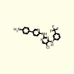 Nc1ccc(-c2ccc(Nc3ncc(Cl)c(Nc4cccc(C(F)(F)F)c4)n3)nc2)cc1